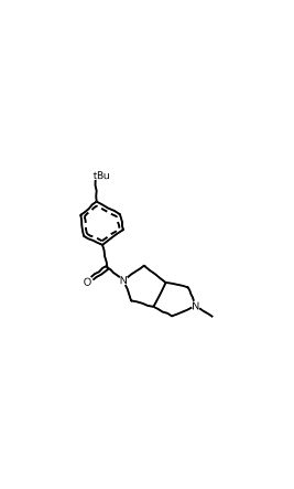 CN1CC2CN(C(=O)c3ccc(C(C)(C)C)cc3)CC2C1